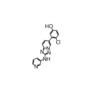 Oc1ccc(Cl)c(-c2ccc3nc(Nc4cccnc4)nn3c2)c1